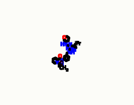 C=CC(=O)N1CCCCC1C(=O)Nc1cccc(CNc2nc(NC3CCCOC3)nc3c(C(C)C)cnn23)c1